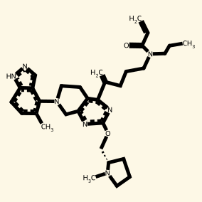 C=CC(=O)N(CCC)CCCC(=C)c1nc(OC[C@@H]2CCCN2C)nc2c1CCN(c1c(C)ccc3[nH]ncc13)C2